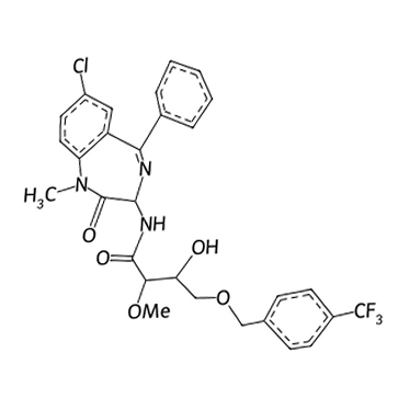 COC(C(=O)NC1N=C(c2ccccc2)c2cc(Cl)ccc2N(C)C1=O)C(O)COCc1ccc(C(F)(F)F)cc1